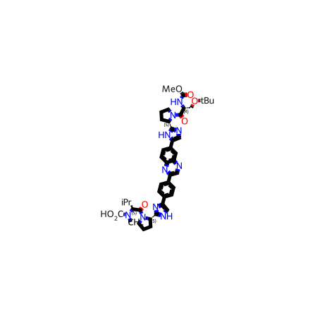 COC(=O)N[C@H](COC(C)(C)C)C(=O)N1CCC[C@H]1c1ncc(-c2ccc3nc(-c4ccc(-c5c[nH]c([C@@H]6CCCN6C(=O)[C@H](C(C)C)N(C)C(=O)O)n5)cc4)cnc3c2)[nH]1